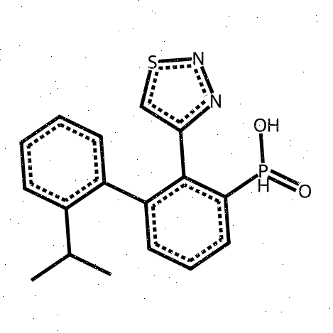 CC(C)c1ccccc1-c1cccc([PH](=O)O)c1-c1csnn1